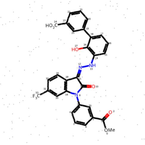 COC(=O)c1cccc(N2C(=O)C(=NNc3cccc(-c4cccc(C(=O)O)c4)c3O)c3ccc(C(F)(F)F)cc32)c1